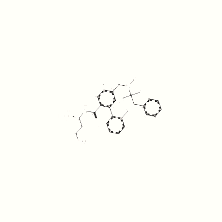 CSCC[C@H](NC(=O)c1ccc(CN(C)C(C)(C)Cc2ccccc2)cc1-c1ccccc1C)C(=O)O.[LiH]